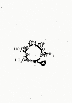 NC(=O)C[C@@H]1NCCC(Cc2ccccc2)C(=O)NNC(CC(=O)O)C(=O)N[C@@H](CC(=O)O)C(=O)NC(CO)C(=O)N[C@@H](CO)C(=O)C1=O